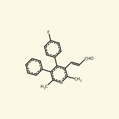 Cc1nc(C)c(-c2ccccc2)c(-c2ccc(F)cc2)c1C=CC=O